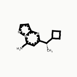 C[C@H](c1cc(N)n2nccc2n1)C1CCC1